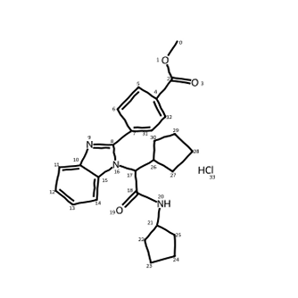 COC(=O)c1ccc(-c2nc3ccccc3n2C(C(=O)NC2CCCC2)C2CCCC2)cc1.Cl